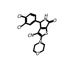 [C-]#[N+]c1c(N2CCOCC2)sc2c1C(c1ccc(Cl)c(Cl)c1)NC2=O